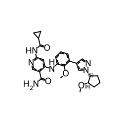 COc1c(Nc2cc(NC(=O)C3CC3)ncc2C(N)=O)cccc1-c1cnn([C@H]2CCC[C@H]2OC)c1